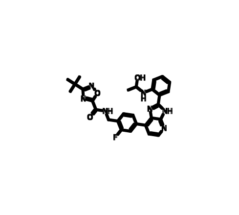 CC(O)Nc1ccccc1-c1nc2c(-c3ccc(CNC(=O)c4nc(C(C)(C)C)no4)c(F)c3)ccnc2[nH]1